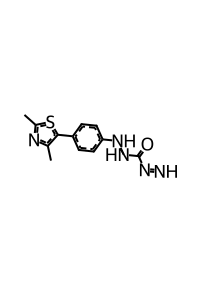 Cc1nc(C)c(-c2ccc(NNC(=O)N=N)cc2)s1